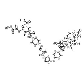 C[C@]12C=CC(=O)C=C1CC[C@@H]1[C@@H]2[C@@H](O)C[C@@]2(C)[C@H]1C[C@H]1O[C@@H](c3ccc(Cc4cnc(NC(=O)OCc5ccc(NC(=O)[C@H](CCC(=O)O)NC(=O)CNC(=O)CBr)cc5)s4)cc3)O[C@]12C(=O)CO